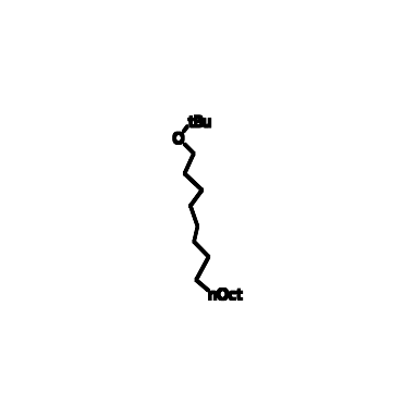 CCCCCCCCCCCCCCCCOC(C)(C)C